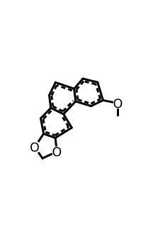 COc1ccc2ccc3cc4c(cc3c2c1)OCO4